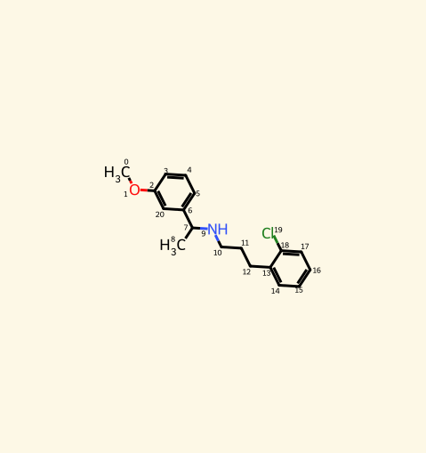 COc1cccc(C(C)NCCCc2ccccc2Cl)c1